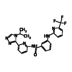 CC(C)n1cnnc1-c1cccc(NC(=O)c2cccc(Nc3cccc(C(F)(F)F)n3)c2)n1